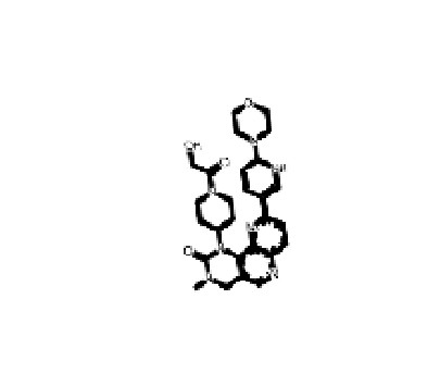 CN1Cc2cnc3ccc(C4=CNC(N5CCOCC5)C=C4)nc3c2N(C2CCN(C(=O)CO)CC2)C1=O